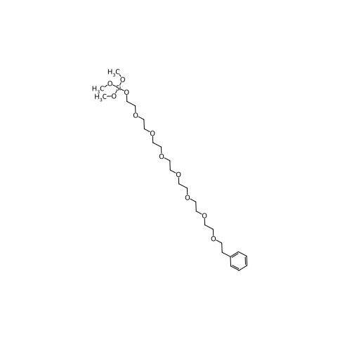 CO[Si](OC)(OC)OCCOCCOCCOCCOCCOCCOCCOCCc1ccccc1